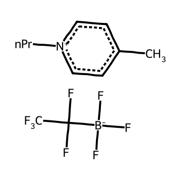 CCC[n+]1ccc(C)cc1.F[B-](F)(F)C(F)(F)C(F)(F)F